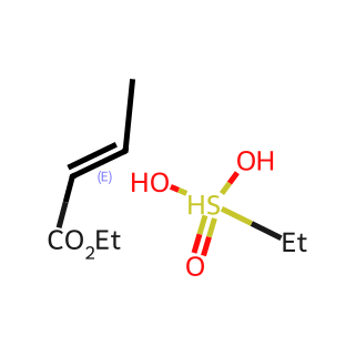 C/C=C/C(=O)OCC.CC[SH](=O)(O)O